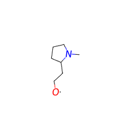 CN1CCCC1CC[O]